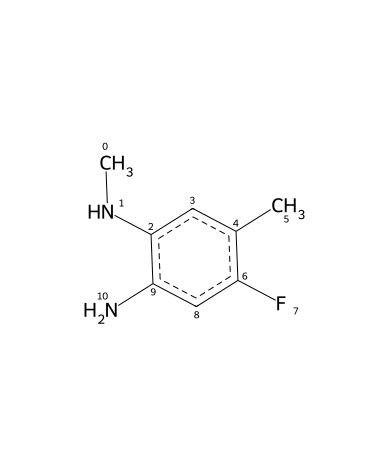 CNc1cc(C)c(F)cc1N